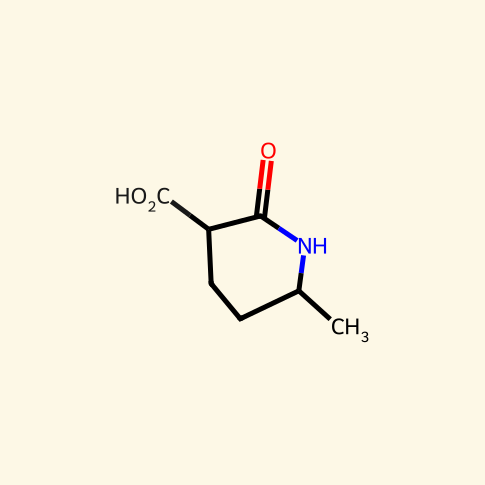 CC1CCC(C(=O)O)C(=O)N1